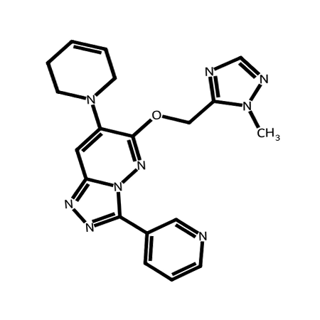 Cn1ncnc1COc1nn2c(-c3cccnc3)nnc2cc1N1CC=CCC1